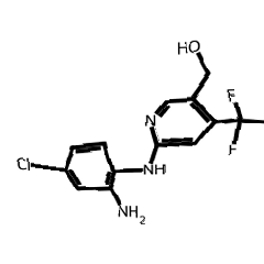 Nc1cc(Cl)ccc1Nc1cc(C(F)(F)F)c(CO)cn1